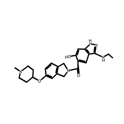 CCNc1n[nH]c2cc(O)c(C(=O)N3Cc4ccc(OC5CCN(C)CC5)cc4C3)cc12